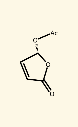 CC(=O)O[C@H]1C=CC(=O)O1